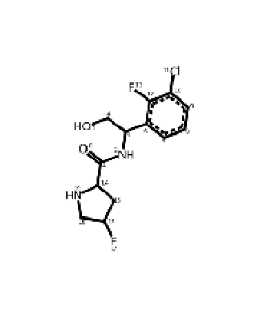 O=C(NC(CO)c1cccc(Cl)c1F)C1CC(F)CN1